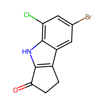 O=C1CCc2c1[nH]c1c(Cl)cc(Br)cc21